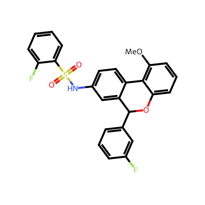 COc1cccc2c1-c1ccc(NS(=O)(=O)c3ccccc3F)cc1C(c1cccc(F)c1)O2